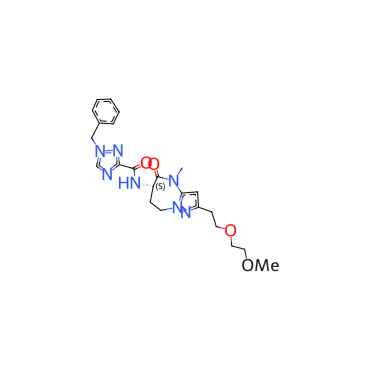 COCCOCCc1cc2n(n1)CC[C@H](NC(=O)c1ncn(Cc3ccccc3)n1)C(=O)N2C